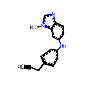 C#CCc1ccc(Nc2ccc3ncn(C)c3c2)cc1